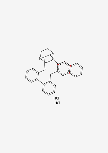 Cl.Cl.c1ccc(CNC2C3CCN(CC3)C2Cc2ccccc2-c2ccccc2Cc2ccccc2)cc1